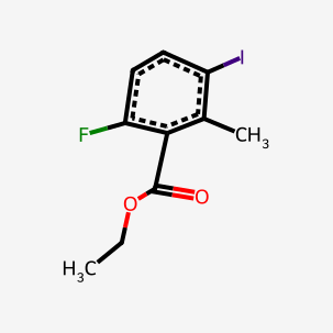 CCOC(=O)c1c(F)ccc(I)c1C